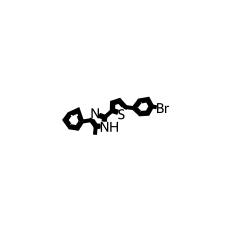 Cc1[nH]c(-c2ccc(-c3ccc(Br)cc3)s2)nc1-c1ccccc1